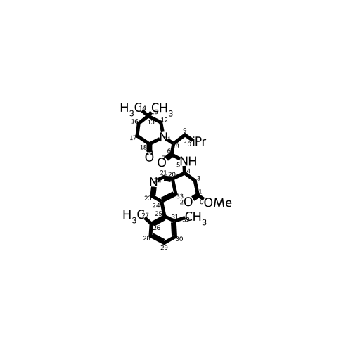 COC(=O)CC(NC(=O)C(CC(C)C)N1CC(C)(C)CCC1=O)c1cncc(-c2c(C)cccc2C)c1